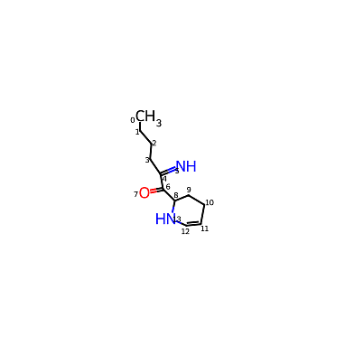 CCCCC(=N)C(=O)C1CCC=CN1